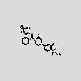 C[C@@H]1CN(c2ccc(S(C)(=O)=O)c(F)c2)CCN1C(=O)[C@@H]1CCCC[C@H]1C(=O)NC1(N)CC1